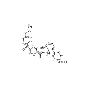 CCOC(=O)N1CC=C(C2=CC=CN3NC(Nc4ccc(C(=O)N5CCN(CCC#N)CC5)cc4)NC23)CC1